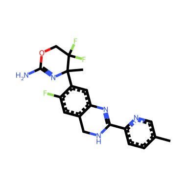 Cc1ccc(C2=Nc3cc(C4(C)N=C(N)OCC4(F)F)c(F)cc3CN2)nc1